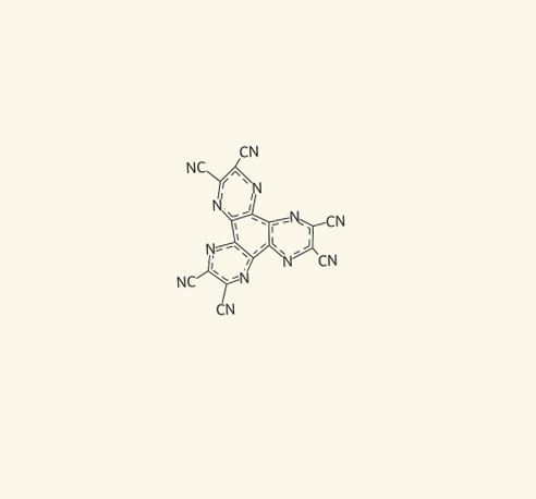 N#Cc1nc2c3nc(C#N)c(C#N)nc3c3nc(C#N)c(C#N)nc3c2nc1C#N